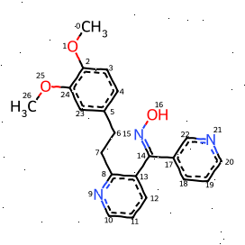 COc1ccc(CCc2ncccc2C(=NO)c2cccnc2)cc1OC